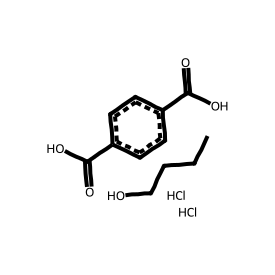 CCCCO.Cl.Cl.O=C(O)c1ccc(C(=O)O)cc1